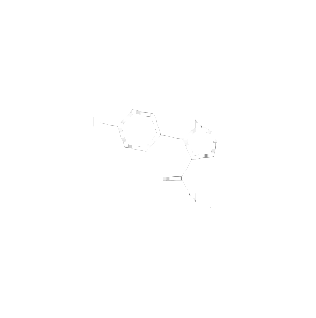 NC(=O)c1conc1-c1ccc(F)cc1